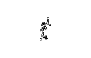 CS(=O)(=O)c1ccc(-c2ccccc2)c(CN2CCN(c3ccc4c(NS(=O)(=O)c5ccc(N[C@H](CCN6CCOCC6)CSc6ccccc6)c([N+](=O)[O-])c5)ncnc4c3)CC2)c1